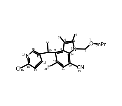 CCCOCn1c(C)c(C)c2c(C(C)c3ccc(Cl)nc3)c(F)cc(C#N)c21